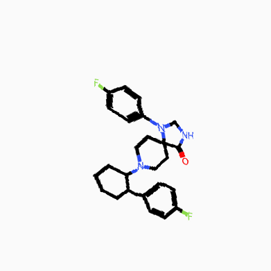 O=C1NCN(c2ccc(F)cc2)C12CCN(C1CCCCC1c1ccc(F)cc1)CC2